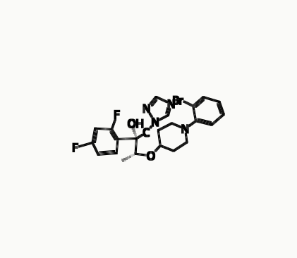 C[C@@H](OC1CCN(c2ccccc2Br)CC1)[C@](O)(Cn1cncn1)c1ccc(F)cc1F